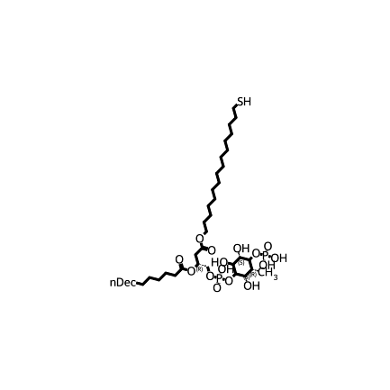 CCCCCCCCCCCCCCCC(=O)O[C@@H](COP(=O)(O)OC1C(O)[C@H](O)C(OP(=O)(O)O)[C@H](C)[C@@H]1O)CC(=O)OCCCCCCCCCCCCCCCCS